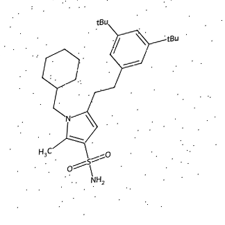 Cc1c(S(N)(=O)=O)cc(CCc2cc(C(C)(C)C)cc(C(C)(C)C)c2)n1CC1CCCCC1